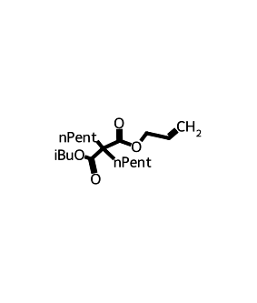 C=CCOC(=O)C(CCCCC)(CCCCC)C(=O)OCC(C)C